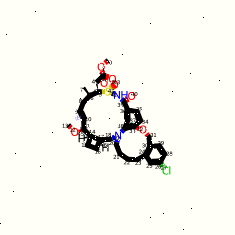 COC(=O)C[C@H]1[C@H](C)C/C=C/[C@H](OC)[C@@H]2CC[C@H]2CN2CCCCc3cc(Cl)ccc3COc3ccc(cc32)C(=O)NS1(=O)=O